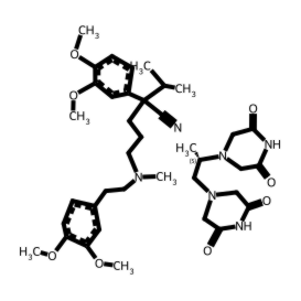 COc1ccc(CCN(C)CCCC(C#N)(c2ccc(OC)c(OC)c2)C(C)C)cc1OC.C[C@@H](CN1CC(=O)NC(=O)C1)N1CC(=O)NC(=O)C1